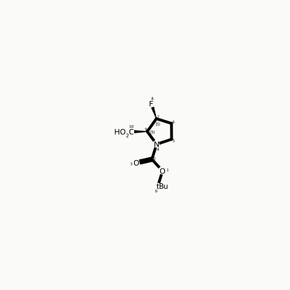 CC(C)(C)OC(=O)N1CC[C@H](F)[C@@H]1C(=O)O